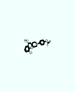 OC1CC2(CCN(c3ccc(OC(F)F)cc3)CC2)Oc2c(Cl)cccc21